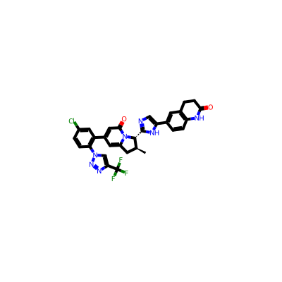 C[C@H]1Cc2cc(-c3cc(Cl)ccc3-n3cc(C(F)(F)F)nn3)cc(=O)n2[C@@H]1c1ncc(-c2ccc3c(c2)CCC(=O)N3)[nH]1